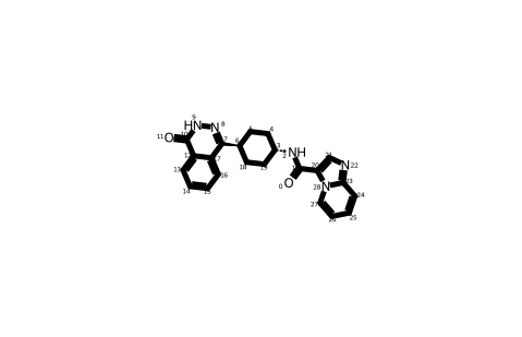 O=C(N[C@H]1CC[C@H](c2n[nH]c(=O)c3ccccc32)CC1)c1cnc2ccccn12